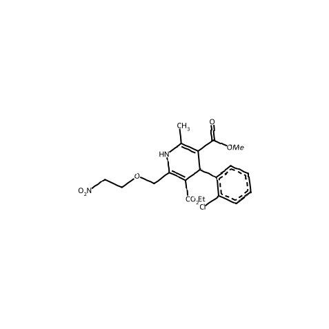 CCOC(=O)C1=C(COCC[N+](=O)[O-])NC(C)=C(C(=O)OC)C1c1ccccc1Cl